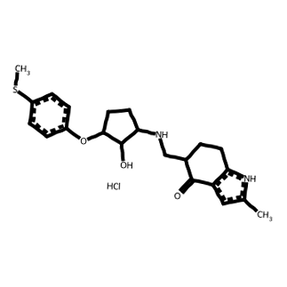 CSc1ccc(OC2CCC(NCC3CCc4[nH]c(C)cc4C3=O)C2O)cc1.Cl